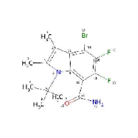 Cc1c(C)n(C(C)(C)C)c2c(C(N)=O)c(F)c(F)c(Br)c12